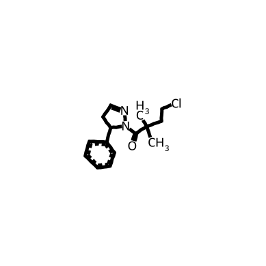 CC(C)(CCCl)C(=O)N1N=CCC1c1ccccc1